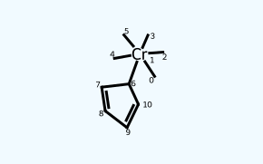 [CH3][Cr]([CH3])([CH3])([CH3])([CH3])[CH]1C=CC=C1